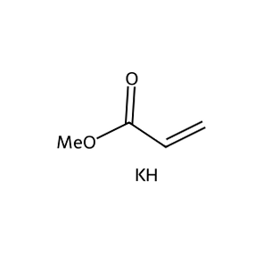 C=CC(=O)OC.[KH]